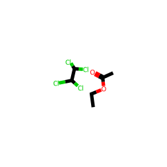 CCOC(C)=O.ClC(Cl)C(Cl)Cl